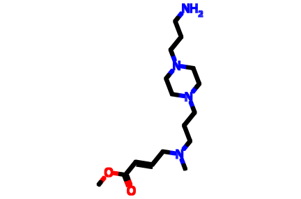 COC(=O)/C=C/CN(C)CCCN1CCN(CCCN)CC1